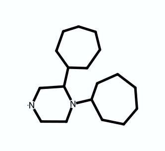 C1CCCC(C2C[N]CCN2C2CCCCCC2)CC1